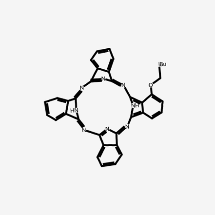 CCC(C)COc1cccc2c3nc4nc(nc5[nH]c(nc6nc(nc([nH]3)c12)-c1ccccc1-6)c1ccccc51)-c1ccccc1-4